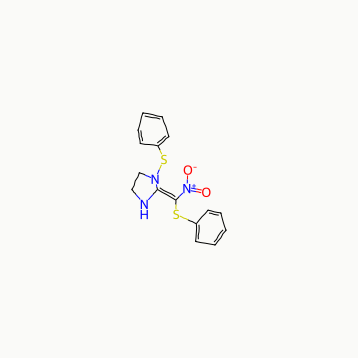 O=[N+]([O-])C(Sc1ccccc1)=C1NCCN1Sc1ccccc1